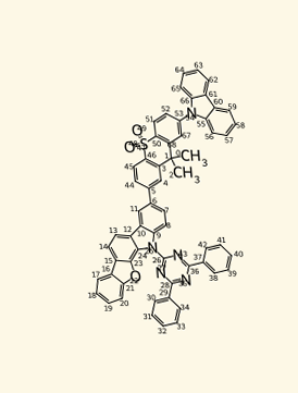 CC1(C)c2cc(-c3ccc4c(c3)c3ccc5c6ccccc6oc5c3n4-c3nc(-c4ccccc4)nc(-c4ccccc4)n3)ccc2S(=O)(=O)c2ccc(-n3c4ccccc4c4ccccc43)cc21